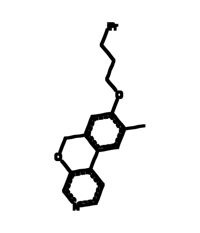 Cc1cc2c(cc1OCCCC(C)C)COc1cnccc1-2